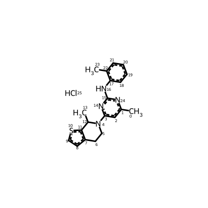 Cc1cc(N2CCc3ccsc3C2C)nc(Nc2ccccc2C)n1.Cl